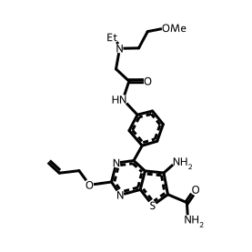 C=CCOc1nc(-c2cccc(NC(=O)CN(CC)CCOC)c2)c2c(N)c(C(N)=O)sc2n1